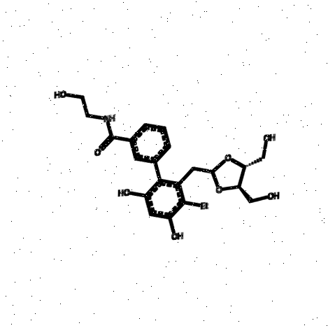 CCc1c(O)cc(O)c(-c2cccc(C(=O)NCCO)c2)c1CC1O[C@H](CO)[C@@H](CO)O1